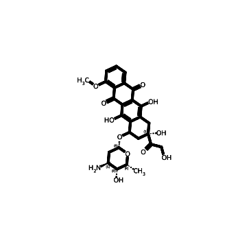 COc1cccc2c1C(=O)c1c(O)c3c(c(O)c1C2=O)C[C@@](O)(C(=O)CO)CC3O[C@H]1C[C@H](N)[C@@H](O)[C@@H](C)O1